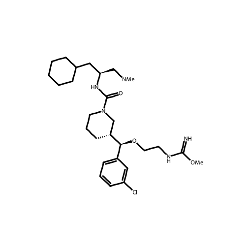 CNC[C@H](CC1CCCCC1)NC(=O)N1CCC[C@@H]([C@@H](OCCNC(=N)OC)c2cccc(Cl)c2)C1